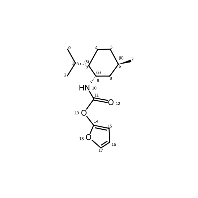 CC(C)[C@@H]1CC[C@@H](C)C[C@@H]1NC(=O)Oc1ccco1